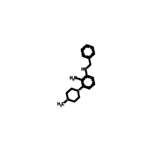 CN1CCN(c2cccc(NCc3ccccc3)c2N)CC1